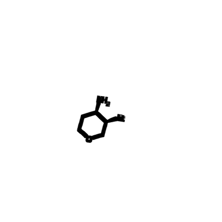 CC[C@H]1COCC[C@H]1N